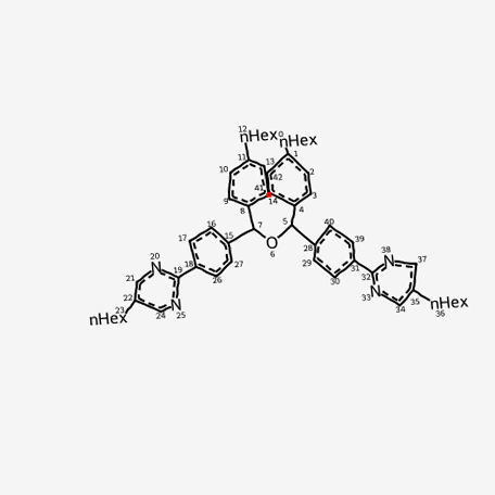 CCCCCCc1ccc(C(OC(c2ccc(CCCCCC)cc2)c2ccc(-c3ncc(CCCCCC)cn3)cc2)c2ccc(-c3ncc(CCCCCC)cn3)cc2)cc1